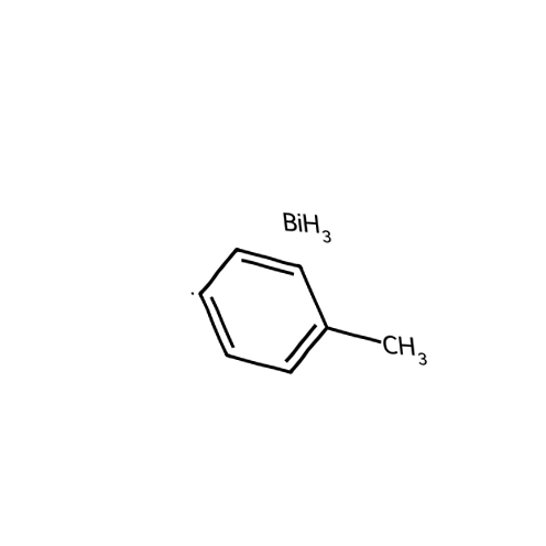 Cc1cc[c]cc1.[BiH3]